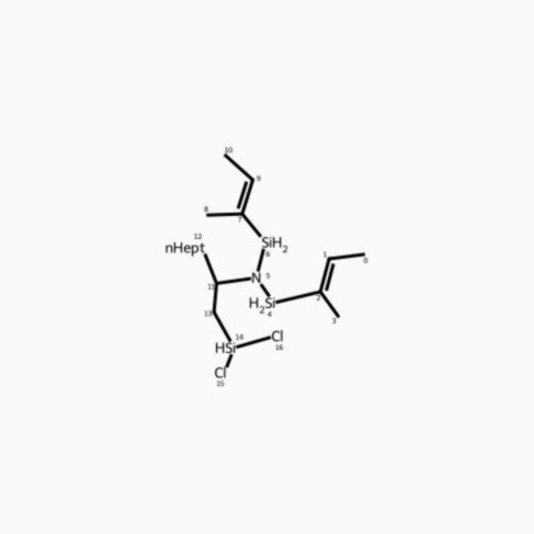 CC=C(C)[SiH2]N([SiH2]C(C)=CC)C(CCCCCCC)C[SiH](Cl)Cl